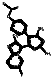 Cc1nc2ccc(F)cn2c1-c1nc(N)nc(N)c1-c1ccc(OC(F)F)cc1